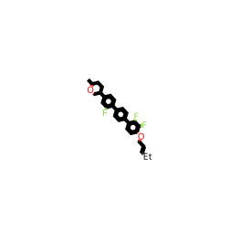 CC/C=C/COc1ccc(-c2ccc(-c3ccc(C4CCC(C)OC4)cc3F)cc2)c(F)c1F